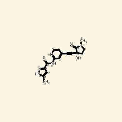 CN1CC[C@@](O)(C#Cc2ccnc(NC(=O)c3cc(N)[nH]n3)c2)C1=O